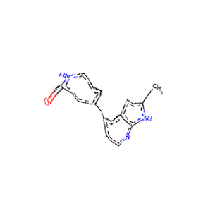 Cc1cc2c(-c3cc[nH]c(=O)c3)ccnc2[nH]1